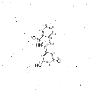 O=c1[nH]c(-c2cc(O)cc(O)c2)nc2ccccc12